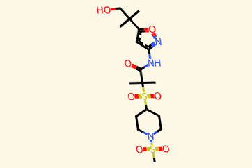 CC(C)(CO)c1cc(NC(=O)C(C)(C)S(=O)(=O)C2CCN(S(C)(=O)=O)CC2)no1